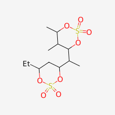 CCC1CC(C(C)C2OS(=O)(=O)OC(C)C2C)OS(=O)(=O)O1